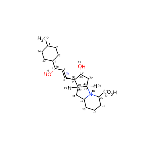 CC1CCC([C@@H](O)/C=C/[C@@H]2[C@H]3CC4CCCC(C(=O)O)N4[C@@H]3C[C@H]2O)CC1